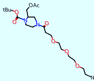 CNCCOCCOCCOCCC(=O)N1CCN(C(=O)OC(C)(C)C)C(COC(C)=O)C1